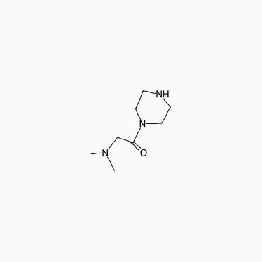 CN(C)CC(=O)N1CCNCC1